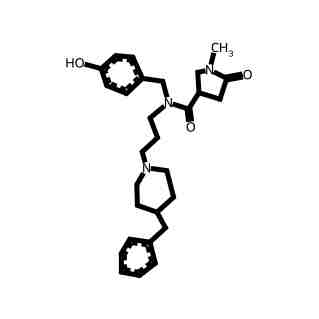 CN1CC(C(=O)N(CCCN2CCC(Cc3ccccc3)CC2)Cc2ccc(O)cc2)CC1=O